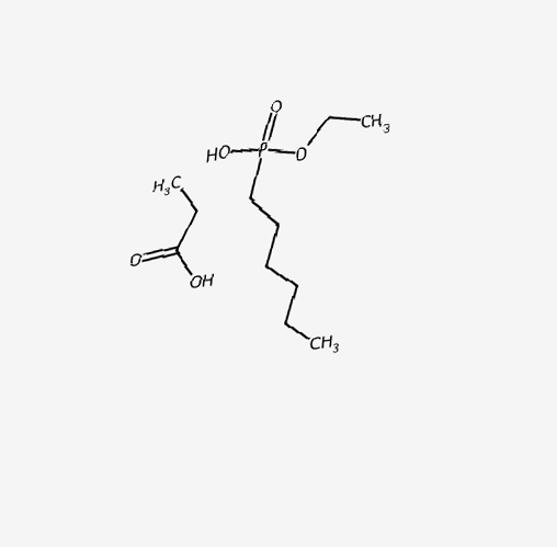 CCC(=O)O.CCCCCCP(=O)(O)OCC